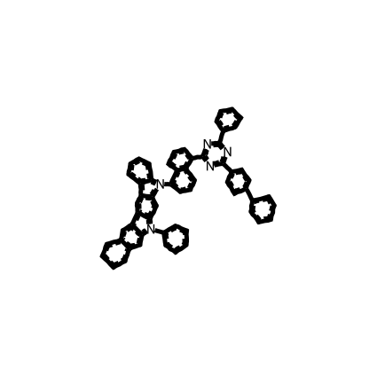 c1ccc(-c2ccc(-c3nc(-c4ccccc4)nc(-c4cccc5c(-n6c7ccccc7c7cc8c9cc%10ccccc%10cc9n(-c9ccccc9)c8cc76)cccc45)n3)cc2)cc1